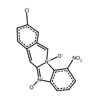 O=[N+]([O-])c1cccc2c1[N+]1([O-])C=c3cc(Cl)ccc3=CC1=[N+]2[O-]